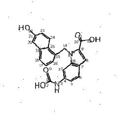 O=C(O)Nc1ccc2cc(C(=O)O)n(Cc3cccc4cc(O)ccc34)c2c1